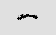 Nc1ncnc2c1c(-c1ccc(Oc3ccccc3)cc1)nn2[C@@H]1CCCN(CC2CCN(CCN3CCN(c4ccc5c(c4)C(=O)N(C4CCC(=O)NC4=O)C5=O)CC3)CC2)C1